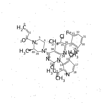 C=CC(=O)N1C[C@H](C)N(c2nc(=O)n(-c3c(C)ccnc3C(C)C)c3nc(-c4c(N)cccc4F)c(Cl)cc23)C[C@H]1C